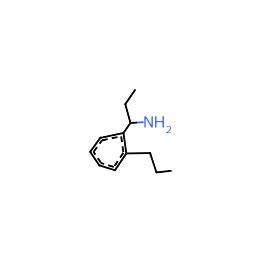 CCCc1ccccc1C(N)CC